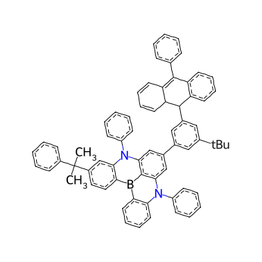 CC(C)(C)c1cc(-c2cc3c4c(c2)N(c2ccccc2)c2cc(C(C)(C)c5ccccc5)ccc2B4c2ccccc2N3c2ccccc2)cc(C2c3ccccc3C(c3ccccc3)=C3C=CC=CC32)c1